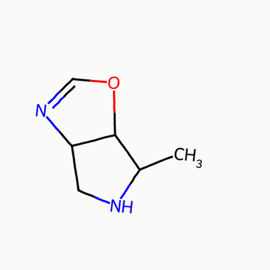 CC1NCC2N=COC21